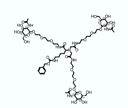 CC(=O)N[C@@H]1[C@@H](OCCOCCOCCNC(=O)CN(CC(=O)NCCOCCOCCO[C@H]2O[C@@H](CO)[C@@H](O)[C@@H](O)[C@@H]2NC(C)=O)C(CCCCNC(=O)OCc2ccccc2)C(=O)NCCOCCOCCO[C@H]2O[C@@H](CO)[C@@H](O)[C@@H](O)[C@@H]2NC(C)=O)O[C@@H](CO)[C@@H](O)[C@H]1O